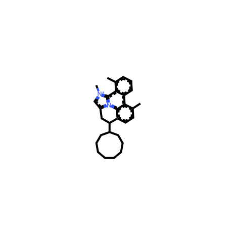 Cc1ccc2c3c1c1cccc(C)c1c1n3c(c[n+]1C)CC2C1CCCCCCCC1